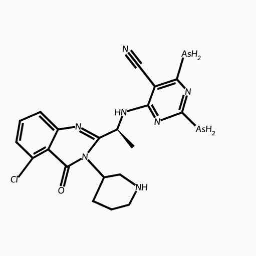 C[C@H](Nc1nc([AsH2])nc([AsH2])c1C#N)c1nc2cccc(Cl)c2c(=O)n1C1CCCNC1